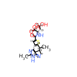 CC1=NC=C2C(=NCC2C(C)c2ccc(C(=O)N[C@@H](CC(=O)O)C(=O)O)s2)N1